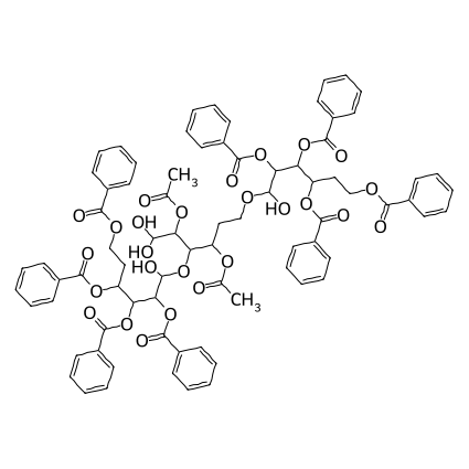 CC(=O)OC(CCOC(O)C(OC(=O)c1ccccc1)C(OC(=O)c1ccccc1)C(CCOC(=O)c1ccccc1)OC(=O)c1ccccc1)C(OC(O)C(OC(=O)c1ccccc1)C(OC(=O)c1ccccc1)C(CCOC(=O)c1ccccc1)OC(=O)c1ccccc1)C(OC(C)=O)C(O)O